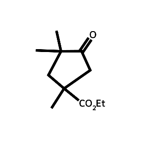 CCOC(=O)C1(C)CC(=O)C(C)(C)C1